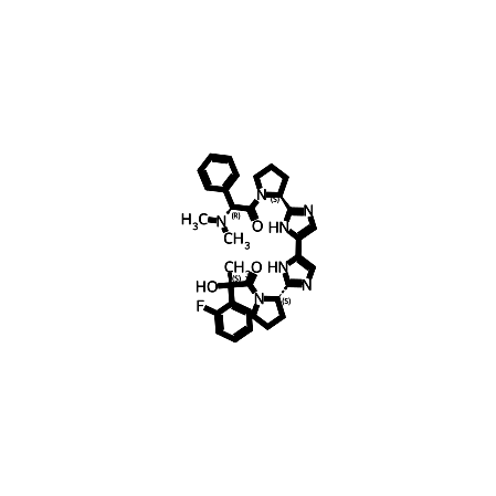 CN(C)[C@@H](C(=O)N1CCC[C@H]1c1ncc(-c2cnc([C@@H]3CCCN3C(=O)[C@@](C)(O)c3ccccc3F)[nH]2)[nH]1)c1ccccc1